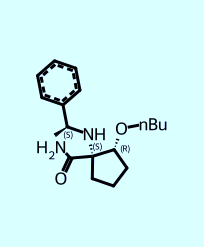 CCCCO[C@@H]1CCC[C@@]1(N[C@@H](C)c1ccccc1)C(N)=O